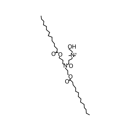 CCCCCCCCCCCCCC(=O)OCCCN(CCCOC(=O)CCCCCCCCCCCCC)C(=O)CC[N+](C)(C)CCO